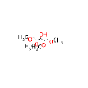 COC[C@@H](OC)C(O)[C@@H](COC)OC